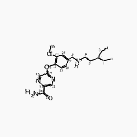 CCC(CC)CCNCc1ccc(Oc2cnc(C(N)=O)cn2)c(OC)c1